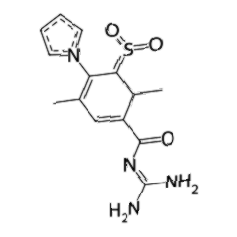 CC1=C(n2cccc2)C(=S(=O)=O)C(C)C(C(=O)N=C(N)N)=C1